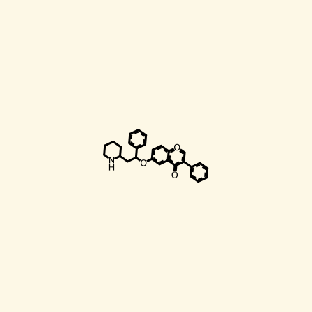 O=c1c(-c2ccccc2)coc2ccc(OC(CC3CCCCN3)c3ccccc3)cc12